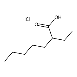 CCCCCC(CC)C(=O)O.Cl